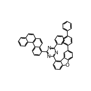 c1ccc(-c2ccc(-c3ccc4oc5cccc(-c6nc(-c7ccccc7)nc(-c7cccc8c7ccc7ccc9ccccc9c78)n6)c5c4c3)cc2)cc1